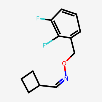 Fc1cccc(CO/N=[C]\C2CCC2)c1F